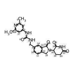 Cc1cc(NC(=O)NCc2ccc3c(c2)C(=O)N(C2CCC(=O)NC2=O)C3)cc(C)n1